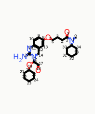 CN(C(=O)CCCOc1ccc2c(c1)CN(C(C=O)OC1CCCCC1)C(N)=N2)C1CCCCC1